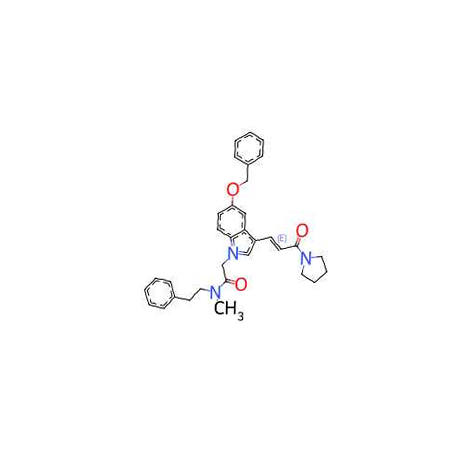 CN(CCc1ccccc1)C(=O)Cn1cc(/C=C/C(=O)N2CCCC2)c2cc(OCc3ccccc3)ccc21